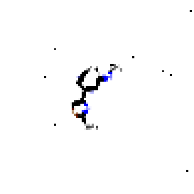 C\C=C/C(=C\C=N\C)c1csc(SC)n1